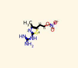 Cc1nc(NC(=N)N)sc1CCO[N+](=O)[O-]